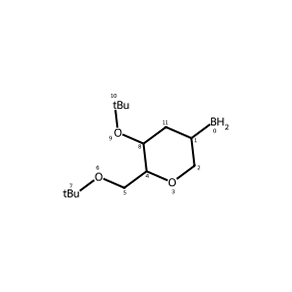 BC1COC(COC(C)(C)C)C(OC(C)(C)C)C1